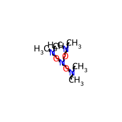 CCCN(CCC)CCOCCN(CCOCCN(CCC)CCC)CCOCCN(CCC)CCC